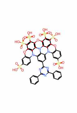 O=S(=O)(O)c1ccc2c(c1)Oc1cc(S(=O)(=O)O)ccc1N2c1cc(-c2nc(-c3ccccc3)nc(-c3ccccc3)n2)cc(N2c3ccc(S(=O)(=O)O)cc3Oc3ccc(S(=O)(=O)O)cc32)c1N1c2ccc(S(=O)(=O)O)cc2Oc2cc(S(=O)(=O)O)ccc21